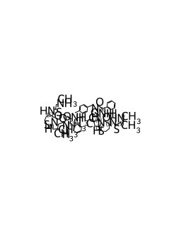 CNCC(=S)N[C@H]1CCS[C@H]2CC(C)(C)C(C(=O)N[C@H](C(=O)NCc3ccc(CNC(=O)[C@@H](NC(=O)[C@H]4N5C(=O)[C@@H](NC(=S)[C@H](C)NC)CCS[C@H]5CC4(C)C)c4ccccc4)cc3)c3ccccc3)N2C1=O